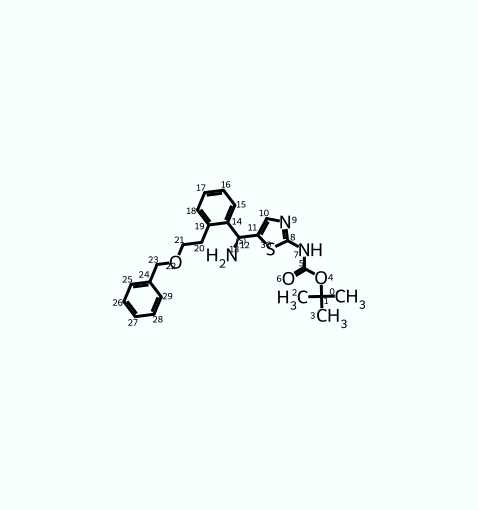 CC(C)(C)OC(=O)Nc1ncc([C@@H](N)c2ccccc2CCOCc2ccccc2)s1